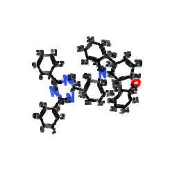 c1ccc(-c2nc(-c3ccccc3)nc(-c3cccc(-n4c5ccccc5c5ccc6oc7ccccc7c6c54)c3)n2)cc1